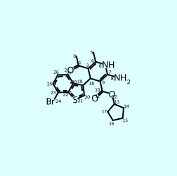 CC(=O)C1=C(C)NC(N)=C(C(=O)OC2CCCC2)C1c1csc2c(Br)cccc12